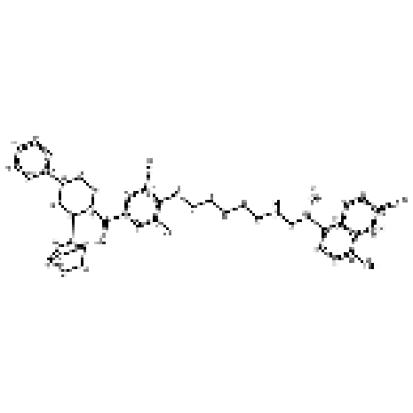 O=C(c1cc(Cl)c(OCCCCCNCC(O)c2ccc(O)c3[nH]c(=O)ccc23)c(Cl)c1)N1CCC(c2ccccc2)CC1C1CN2CCC1CC2